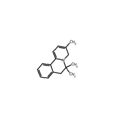 CC1=CC=C2c3ccccc3CC(C)(C)N2C1